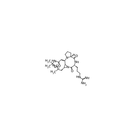 CC(C)C[C@H]1C2/C(=C\C(=O)NC(C)(C)C)N3CCC[C@@H]3C(=O)N[C@@H](CCCNC(=N)N)C(=O)N21